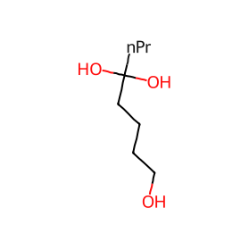 [CH2]CCC(O)(O)CCCCO